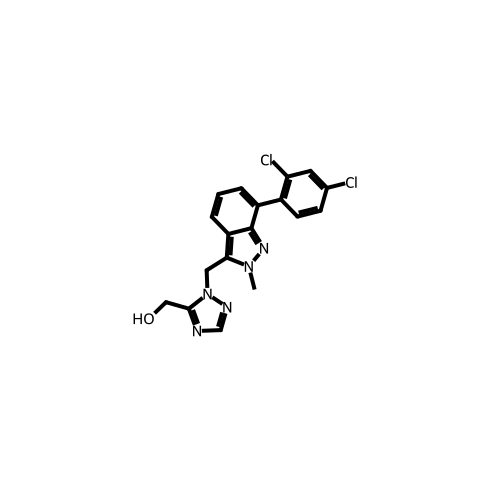 Cn1nc2c(-c3ccc(Cl)cc3Cl)cccc2c1Cn1ncnc1CO